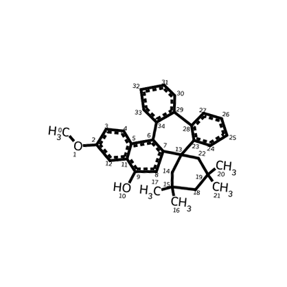 COc1ccc2c3c(cc(O)c2c1)C1(CC(C)(C)CC(C)(C)C1)c1ccccc1-c1ccccc1-3